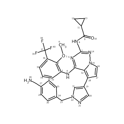 COc1c(Nc2nc(NC(=O)C3CC3)nn3ccc(-c4cnn(Cc5ccc(N)cc5)c4)c23)cccc1C(F)(F)F